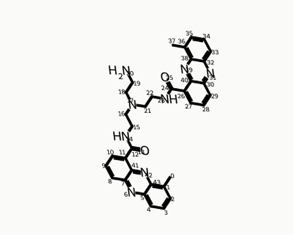 Cc1cccc2nc3cccc(C(=O)NCCN(CCN)CCNC(=O)c4cccc5nc6cccc(C)c6nc45)c3nc12